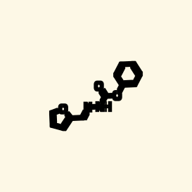 O=C(NN=Cc1ccco1)Oc1ccccc1